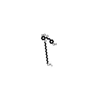 CCCCCCCCCCCCCCCCOc1cccc(O)c1C(=O)/C=C/c1ccc(O)cc1